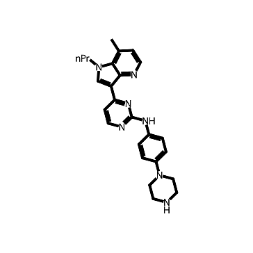 CCCn1cc(-c2ccnc(Nc3ccc(N4CCNCC4)cc3)n2)c2nccc(C)c21